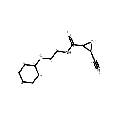 N#CC1OC1C(=O)NCCOC1CCCCC1